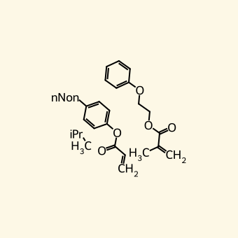 C=C(C)C(=O)OCCOc1ccccc1.C=CC(=O)Oc1ccc(CCCCCCCCC)cc1.CC(C)C